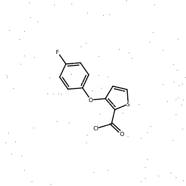 O=C(Cl)c1sccc1Oc1ccc(F)cc1